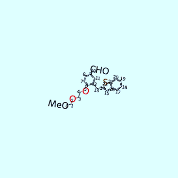 COCOCCOc1ccc(C=O)cc1Cc1cc2ccccc2s1